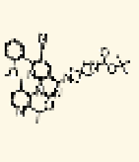 COc1ccccc1-c1nc2c(cc1C#N)c(N1CC3(CN(C(=O)OC(C)(C)C)C3)C1)nc(=O)n2-c1c(C)ccnc1C(C)C